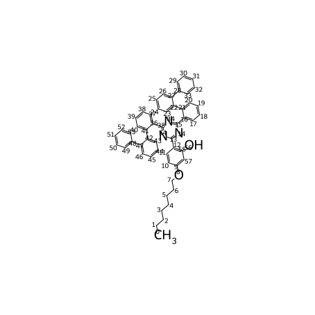 CCCCCCCCOc1ccc(-c2nc(-c3ccccc3-c3ccccc3-c3ccccc3)nc(-c3ccccc3-c3ccccc3-c3ccccc3)n2)c(O)c1